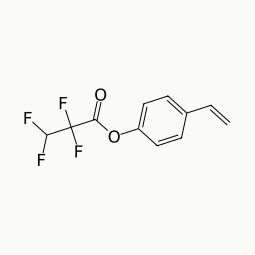 C=Cc1ccc(OC(=O)C(F)(F)C(F)F)cc1